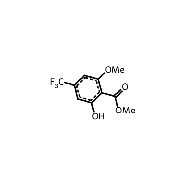 COC(=O)c1c(O)cc(C(F)(F)F)cc1OC